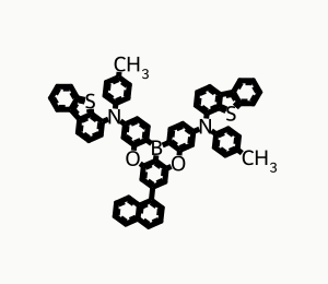 Cc1ccc(N(c2ccc3c(c2)Oc2cc(-c4cccc5ccccc45)cc4c2B3c2ccc(N(c3ccc(C)cc3)c3cccc5c3sc3ccccc35)cc2O4)c2cccc3c2sc2ccccc23)cc1